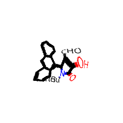 CCCCN1C(=O)C(O)=C(C=O)C1c1c2ccccc2cc2ccccc12